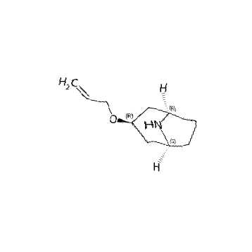 C=CCO[C@H]1C[C@H]2CC[C@@H](C1)N2